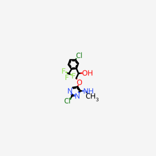 CNc1nc(Cl)ncc1OCC(O)c1cc(Cl)ccc1C(F)(F)F